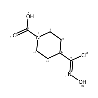 O=C(O)N1CCC(C(Cl)=NO)CC1